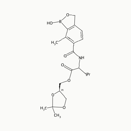 Cc1c(C(=O)NC(C(=O)OC[C@H]2COC(C)(C)O2)C(C)C)ccc2c1B(O)OC2